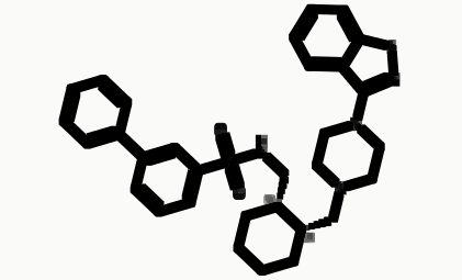 O=S(=O)(NC[C@H]1CCCC[C@H]1CN1CCN(c2nsc3ccccc23)CC1)c1cccc(-c2ccccc2)c1